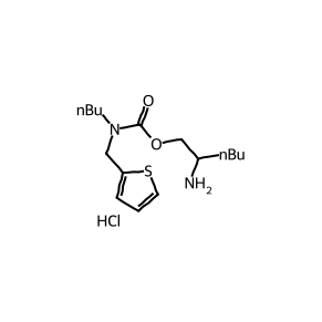 CCCCC(N)COC(=O)N(CCCC)Cc1cccs1.Cl